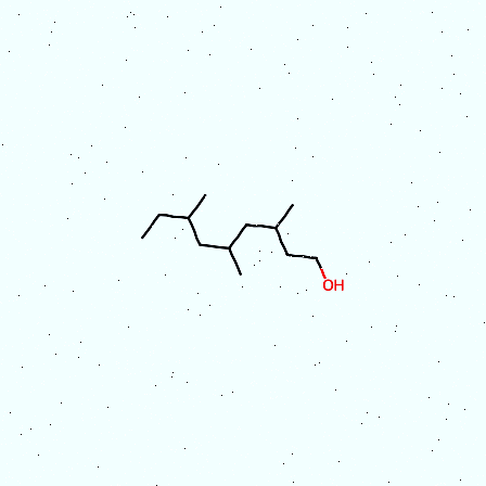 CCC(C)CC(C)CC(C)CCO